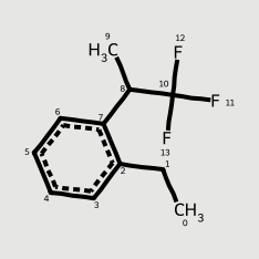 CCc1ccccc1C(C)C(F)(F)F